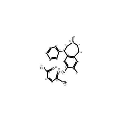 Cc1cc2c(cc1N)[C@@H](c1ccccc1)CN(C)CC2.O=C(O)/C=C\C(=O)O